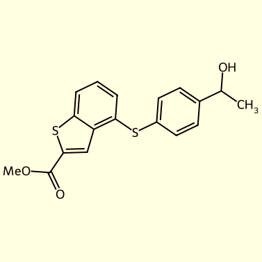 COC(=O)c1cc2c(Sc3ccc(C(C)O)cc3)cccc2s1